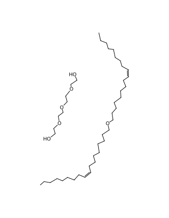 CCCCCCCC/C=C\CCCCCCCCOCCCCCCCC/C=C\CCCCCCCC.OCCOCCOCCOCCO